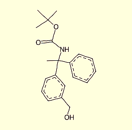 CC(C)(C)OC(=O)NC(C)(c1ccccc1)c1cccc(CO)c1